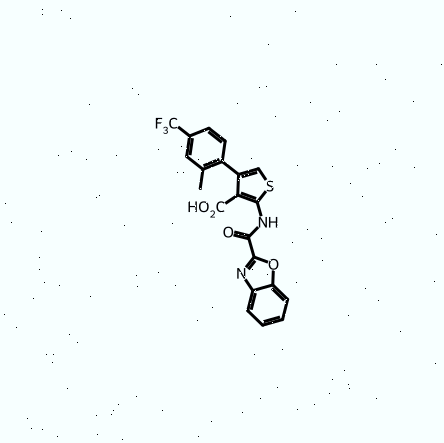 Cc1cc(C(F)(F)F)ccc1-c1csc(NC(=O)c2nc3ccccc3o2)c1C(=O)O